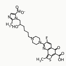 CC1=C2C(=C(C(=O)O)C(=O)c3cc(F)c(N4CCN(CCCCC(O)Cn5c([N+](=O)[O-])cnc5C)CC4)nc32)S1